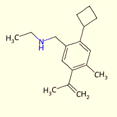 C=C(C)c1cc(CNCC)c(C2CCC2)cc1C